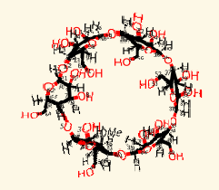 CO[C@@H]1[C@@H](O)[C@H]2O[C@H]3[C@H](O)[C@@H](O)[C@@H](O[C@H]4[C@H](O)[C@@H](O)[C@@H](O[C@H]5[C@H](O)[C@@H](O)[C@@H](O[C@H]6[C@H](O)[C@@H](O)[C@@H](O[C@H]7[C@H](O)[C@@H](O)[C@@H](O[C@H]1[C@@H](CO)O2)O[C@@H]7CO)O[C@@H]6CO)O[C@@H]5CO)O[C@@H]4CO)O[C@@H]3CO